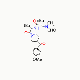 CCCC[C@H](CN(C)C=O)C(=O)N[C@H](C(=O)N1CCC(C(=O)c2ccc(OC)cc2)CC1)C(C)(C)C